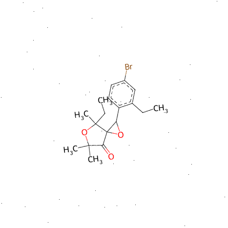 CCc1cc(Br)ccc1C1OC12C(=O)C(C)(C)OC2(C)CC